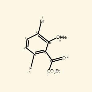 CCOC(=O)C(=O)c1c(F)ccc(Br)c1OC